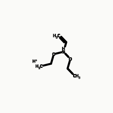 C=C[SiH](OCC)OCC.[H+]